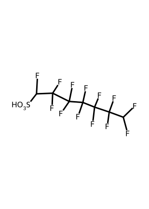 O=S(=O)(O)C(F)C(F)(F)C(F)(F)C(F)(F)C(F)(F)C(F)(F)C(F)F